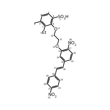 CCc1c(C)ccc(S(=O)(=O)O)c1OCCOc1cc(C=Cc2ccc([N+](=O)[O-])cc2)ccc1[N+](=O)[O-]